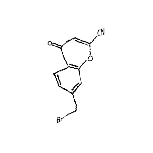 N#Cc1cc(=O)c2ccc(CBr)cc2o1